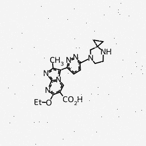 CCOc1nc2nc(C)c(-c3ccc(N4CCNC5(CC5)C4)nn3)n2cc1C(=O)O